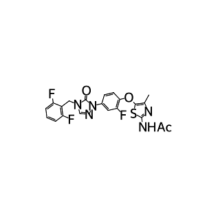 CC(=O)Nc1nc(C)c(Oc2ccc(-n3ncn(Cc4c(F)cccc4F)c3=O)cc2F)s1